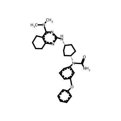 CN(C)c1nc(N[C@H]2CC[C@@H](N(C(N)=O)c3cccc(Oc4ccccc4)c3)CC2)nc2c1CCCC2